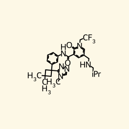 CC(C)CNCc1cc(C(=O)Nc2cccc(C3(c4nncn4C)CC(C)(C)C3)c2)c(=O)n(CC(F)(F)F)c1